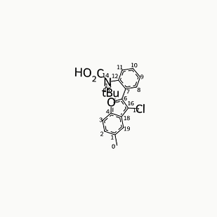 Cc1ccc2oc(-c3ccccc3N(C(=O)O)C(C)(C)C)c(Cl)c2c1